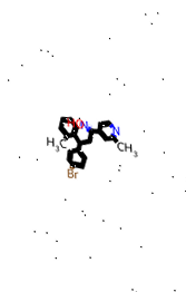 Cc1cc(/C(CC(c2ccc(Br)cc2)c2ccccc2C)=N/O)ccn1